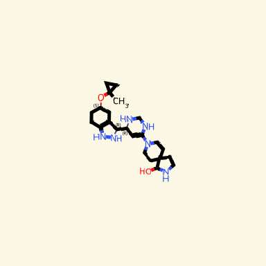 CC1(O[C@H]2CCC3=C(C2)[C@H]([C@H]2C=C(N4CCC5(CCNC5O)CC4)NCN2)NN3)CC1